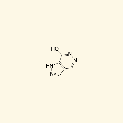 Oc1nncc2cn[nH]c12